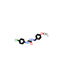 COc1ccc(CNC(=O)CNc2ccc(Cl)cc2)cc1